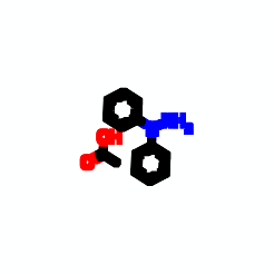 CC(=O)O.NN(c1ccccc1)c1ccccc1